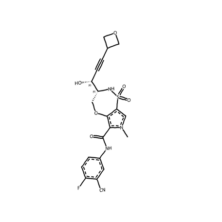 Cn1cc2c(c1C(=O)Nc1ccc(F)c(C#N)c1)OC[C@H]([C@H](O)C#CC1COC1)NS2(=O)=O